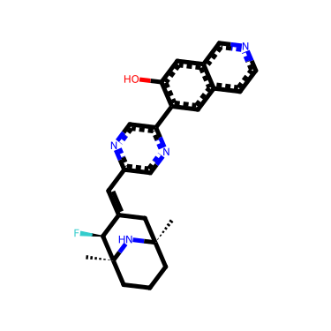 C[C@]12CCC[C@](C)(N1)[C@@H](F)/C(=C/c1cnc(-c3cc4ccncc4cc3O)cn1)C2